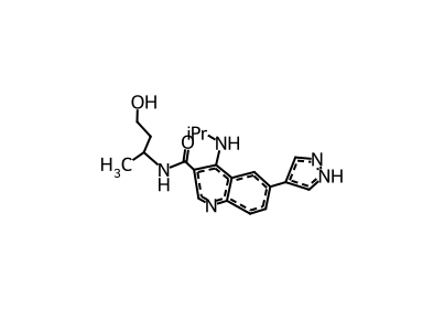 CC(C)Nc1c(C(=O)NC(C)CCO)cnc2ccc(-c3cn[nH]c3)cc12